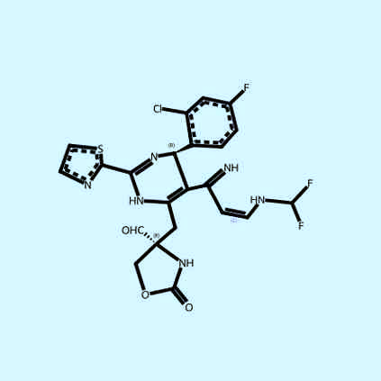 N=C(/C=C\NC(F)F)C1=C(C[C@]2(C=O)COC(=O)N2)NC(c2nccs2)=N[C@H]1c1ccc(F)cc1Cl